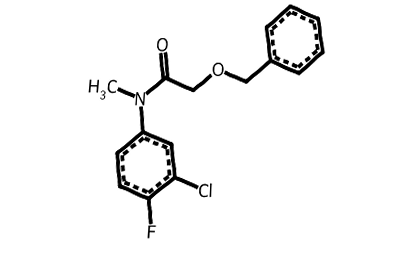 CN(C(=O)COCc1ccccc1)c1ccc(F)c(Cl)c1